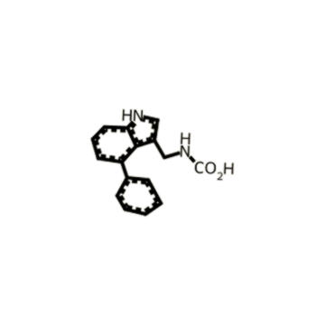 O=C(O)NCc1c[nH]c2cccc(-c3ccccc3)c12